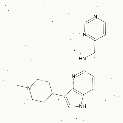 CN1CCC(c2c[nH]c3ccc(NCc4ccncn4)nc23)CC1